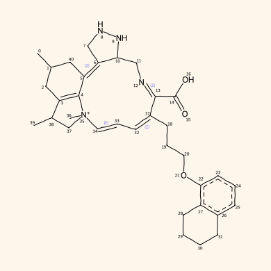 CC1CC2=C3/C(=C4/CNNC4C/N=C(C(=O)O)/C(CCCOc4cccc5c4CCCC5)=C\C=C\[N+]3(C)CC2C)C1